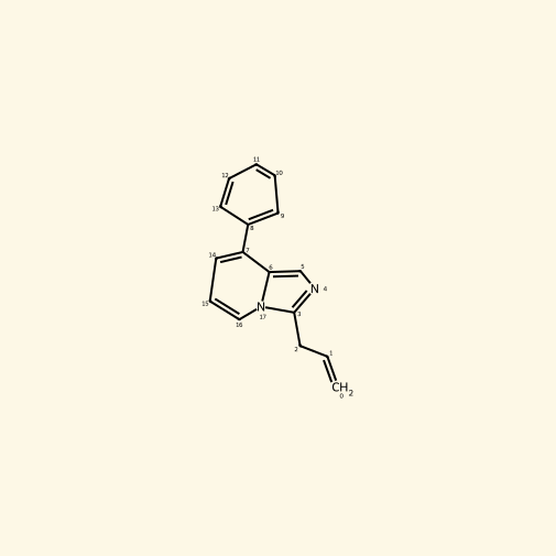 C=CCc1ncc2c(-c3ccccc3)cccn12